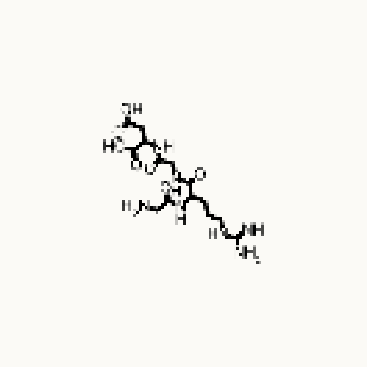 N=C(N)NCCCC(NC(=O)CN)C(=O)NCC(=O)NC(CC(=O)O)C(=O)O